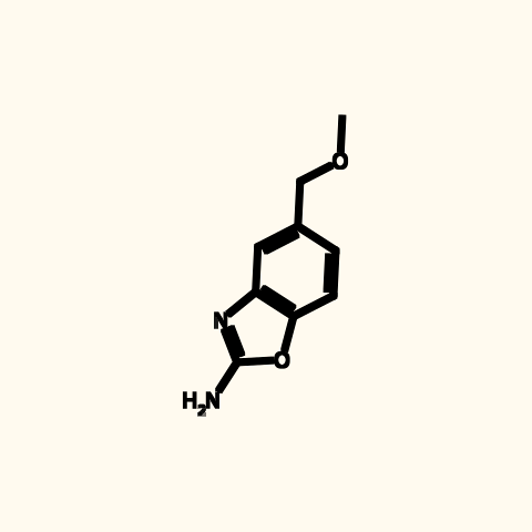 COCc1ccc2oc(N)nc2c1